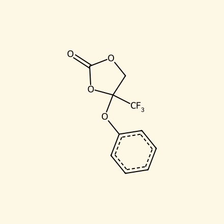 O=C1OCC(Oc2ccccc2)(C(F)(F)F)O1